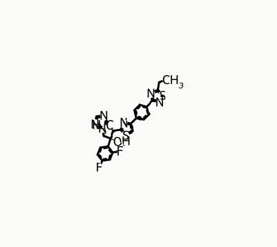 CCc1nc(-c2ccc(-c3csc([C@H](C)[C@](O)(Cn4cncn4)c4ccc(F)cc4F)n3)cc2)ns1